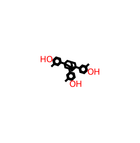 Cc1cc(C23CC4CC(c5ccc(O)c(C)c5)(C2)C(C)C(c2ccc(O)c(C)c2)(C4)C3)ccc1O